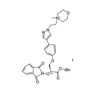 CC(C)(C)OC(=O)[C@H](COc1ccc(-c2cnn(CC[N+]3(C)CCOCC3)c2)cc1)ON1C(=O)c2ccccc2C1=O.[I-]